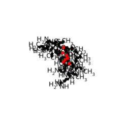 CC[C@H](C)[C@H](NC(=O)[C@H](CC(N)=O)NC(=O)[C@H](CC(C)C)NC(=O)[C@@H](N)CC(C)C)C(=O)N1CCC[C@H]1C(=O)N[C@@H](CO)C(=O)N1CCC[C@H]1C(=O)N[C@@H](C)C(=O)N[C@H](C(=O)N[C@@H](Cc1c[nH]c2ccccc12)C(=O)N[C@@H](CCSC)C(=O)N[C@@H](C)C(=O)N[C@@H](CCCNC(=N)N)C(=O)N[C@@H](CC(N)=O)C(=O)N[C@H](C(=O)O)[C@@H](C)O)C(C)C